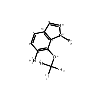 [2H]C([2H])([2H])Oc1c(N)ccc2cnn(CC)c12